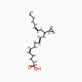 CCCCC/C=C\CC(C/C=C/CC/C=C\CCCC(=O)O)C1CC1